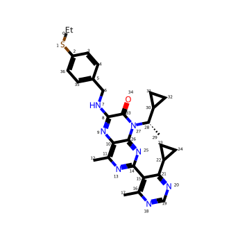 CCSc1ccc(CNc2nc3c(C)nc(-c4c(C)ncnc4C4CC4)nc3n([C@@H](C)C3CC3)c2=O)cc1